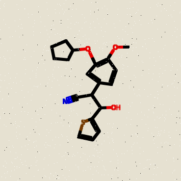 COc1ccc(C(C#N)C(O)c2cccs2)cc1OC1CCCC1